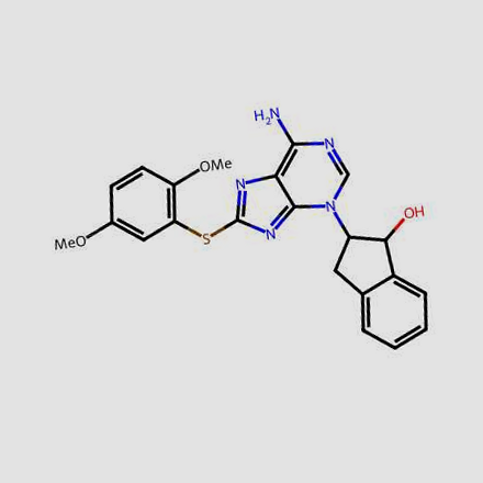 COc1ccc(OC)c(Sc2nc3c(N)ncn(C4Cc5ccccc5C4O)c-3n2)c1